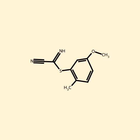 COc1ccc(C)c(SC(=N)C#N)c1